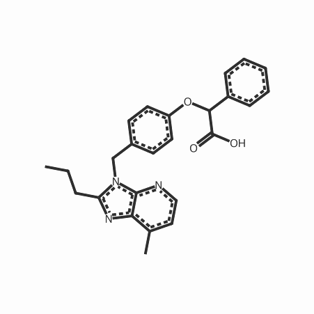 CCCc1nc2c(C)ccnc2n1Cc1ccc(OC(C(=O)O)c2ccccc2)cc1